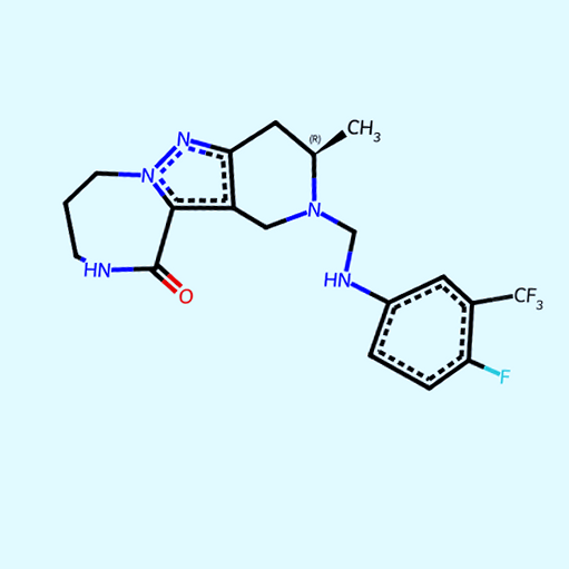 C[C@@H]1Cc2nn3c(c2CN1CNc1ccc(F)c(C(F)(F)F)c1)C(=O)NCCC3